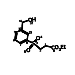 CCOC(=O)CCS(=O)(=O)c1cccc(CO)c1